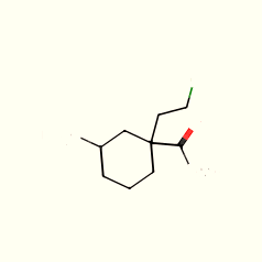 COC(=O)C1(CCCl)CCCC(C(=O)O)C1